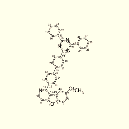 COc1ccc2oc3ccnc(-c4ccc(-c5ccc(-c6nc(-c7ccccc7)nc(-c7ccccc7)n6)cc5)cc4)c3c2c1